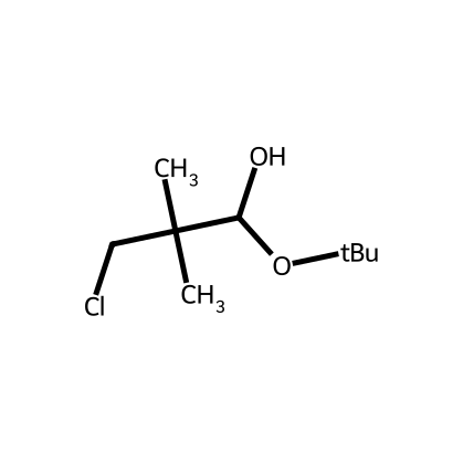 CC(C)(C)OC(O)C(C)(C)CCl